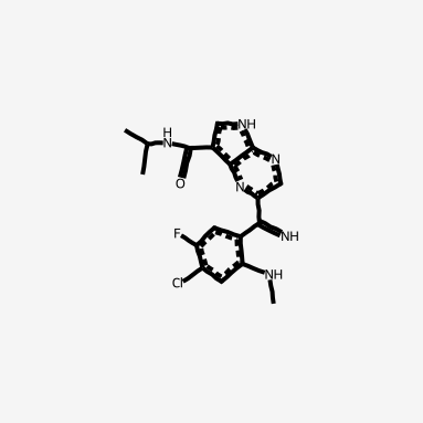 CNc1cc(Cl)c(F)cc1C(=N)c1cnc2[nH]cc(C(=O)NC(C)C)c2n1